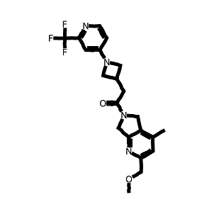 COCc1cc(C)c2c(n1)CN(C(=O)CC1CN(c3ccnc(C(F)(F)F)c3)C1)C2